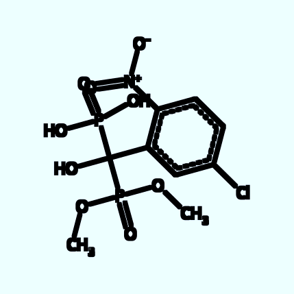 COP(=O)(OC)C(O)(c1cc(Cl)ccc1[N+](=O)[O-])P(=O)(O)O